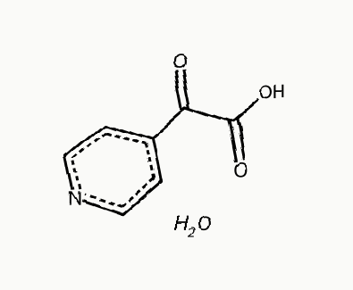 O.O=C(O)C(=O)c1ccncc1